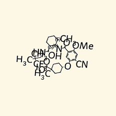 COc1cc(C#N)c(O[C@H]2CC[C@@](C)(C(=O)OI)CC2)cc1C(=O)N[C@H]1[C@@H](C(=O)NCC(C)(C)C(F)(F)F)CCC[C@@H]1C